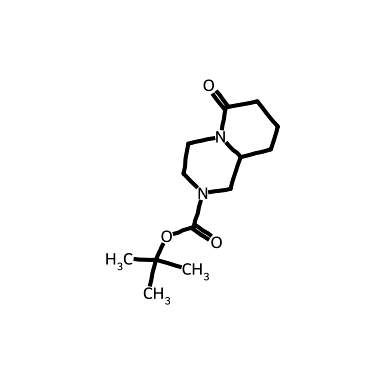 CC(C)(C)OC(=O)N1CCN2C(=O)CCCC2C1